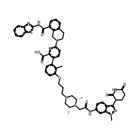 Cc1c(OCCCN2C[C@@H](C)N(CC(=O)Nc3ccc4c(C5CCC(=O)NC5=O)nn(C)c4c3)[C@@H](C)C2)cccc1-c1ccc(N2CCc3cccc(C(=O)Nc4nc5ccccc5s4)c3C2)nc1C(=O)O